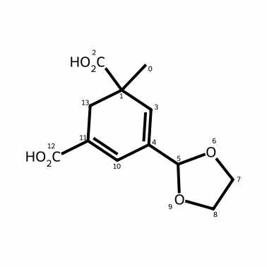 CC1(C(=O)O)C=C(C2OCCO2)C=C(C(=O)O)C1